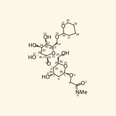 CNC(=O)CO[C@H]1C[C@@H](O)[C@H](O[C@@H]2O[C@H](COC3CCCCO3)[C@H](O)[C@H](O)[C@H]2O)[C@@H](CO)O1